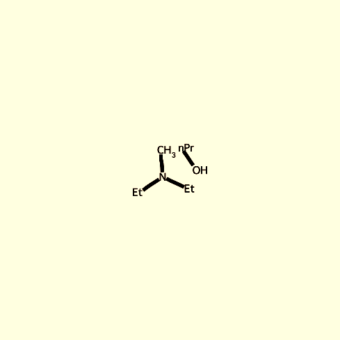 CCCO.CCN(C)CC